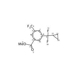 COC(=O)c1cc(C(F)(F)F)cc(C(F)(F)C2CC2)c1